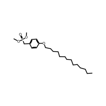 CCCCCCCCCCCCCCOc1ccc(CP(=O)(OC)OC)cc1